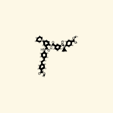 O=C(Nc1ccc(N2CCCCC2)cc1C(=O)Nc1ccc(CCc2ccc(C(=O)OI)cc2)cc1)c1cccc([S+]([O-])N(C2CCC(C(=O)OI)CC2)C2CC2)c1